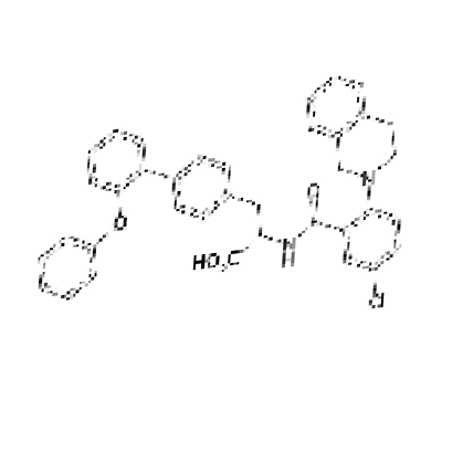 O=C(N[C@@H](Cc1ccc(-c2ccccc2Oc2ccccc2)cc1)C(=O)O)c1cc(Cl)ccc1N1CCc2ccccc2C1